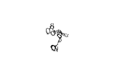 O=C(Nc1ccc(OCCc2ccccn2)cc1C(=O)[O-])c1ccc(Cl)cc1Cl.[Li+]